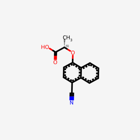 C[C@H](Oc1ccc(C#N)c2ccccc12)C(=O)O